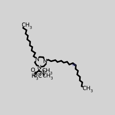 CCCCCCCC/C=C\CCCCCCCCN1CCN(CCCCCCCCCCCC)CCN(C(C(=O)[O-])[N+](C)(C)C)CC1